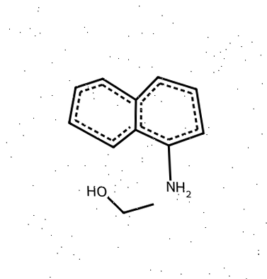 CCO.Nc1cccc2ccccc12